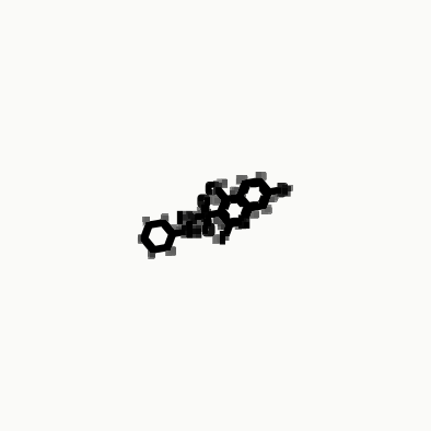 O=S(=O)(NNC1CCCCC1)c1c(F)nc2cc(Br)ccc2c1Cl